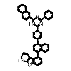 C1=Cc2c(oc3cccc(-c4ccc(-c5ccc(C6=NC(c7ccccc7)=NC(c7ccc8ccccc8c7)N6)cc5)c5ccccc45)c23)NC1